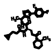 C[C@H](NC(=O)[C@H](CCC(=O)N1CCCC[C@@H]1C)NC(=O)CCC1CC1)c1ncc(-c2ccc(F)cc2F)[nH]1